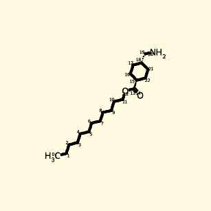 CCCCCCCCCCCCOC(=O)[C@H]1CC[C@H](CN)CC1